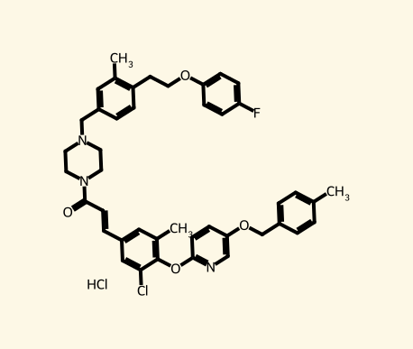 Cc1ccc(COc2ccc(Oc3c(C)cc(C=CC(=O)N4CCN(Cc5ccc(CCOc6ccc(F)cc6)c(C)c5)CC4)cc3Cl)nc2)cc1.Cl